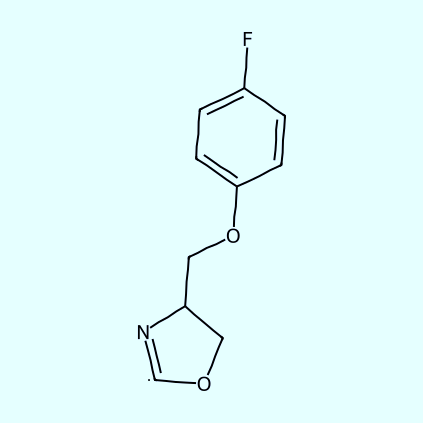 Fc1ccc(OCC2CO[C]=N2)cc1